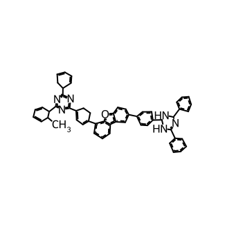 CC1C=CC=CC1c1nc(C2=CC=C(c3cccc4c3oc3ccc(-c5ccc(C6NC(c7ccccc7)=NC(c7ccccc7)N6)cc5)cc34)CC2)nc(C2C=CC=CC2)n1